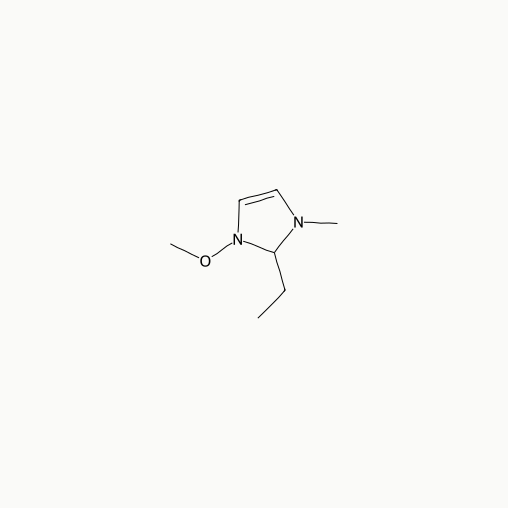 CCC1N(C)C=CN1OC